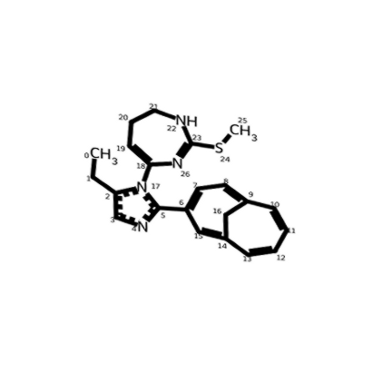 CCc1cnc(C2=CC=C3C=CC=CC(=C2)C3)n1C1=CCCNC(SC)=N1